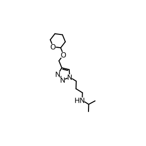 CC(C)NCCCn1cc(COC2CCCCO2)nn1